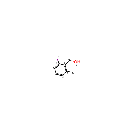 Cc1cccc(I)c1CO